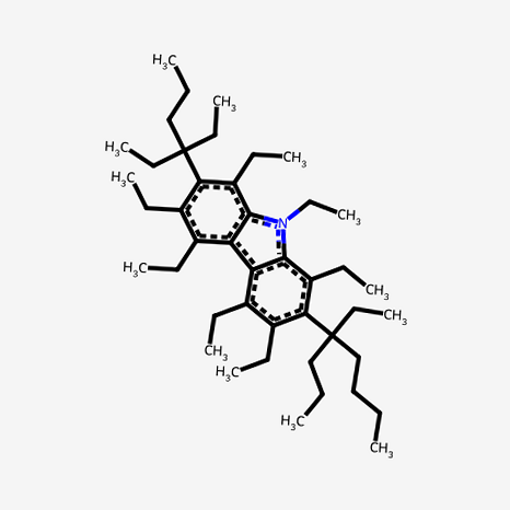 CCCCC(CC)(CCC)c1c(CC)c(CC)c2c3c(CC)c(CC)c(C(CC)(CC)CCC)c(CC)c3n(CC)c2c1CC